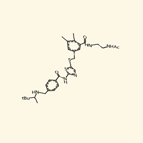 CC(=O)NCCNC(=O)c1cc(CSc2cnc(NC(=O)c3ccc(CNC(C)C(C)(C)C)cc3)s2)cc(C)c1C